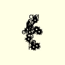 C#CCN(C(=O)NCc1ccc(Cl)c(Cl)c1)N1CC(=O)N2[C@@H](Cc3ccc(NC(=O)c4cccc5ccccc45)cc3)C(=O)N(Cc3cccc4ccccc34)C[C@@H]21